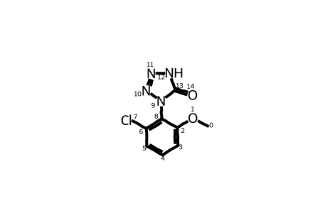 COc1cccc(Cl)c1-n1nn[nH]c1=O